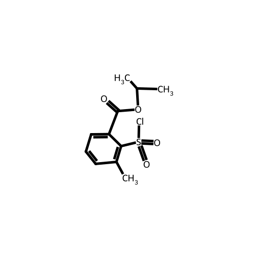 Cc1cccc(C(=O)OC(C)C)c1S(=O)(=O)Cl